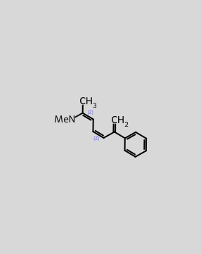 C=C(/C=C\C=C(\C)NC)c1ccccc1